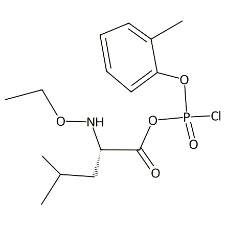 CCON[C@@H](CC(C)C)C(=O)OP(=O)(Cl)Oc1ccccc1C